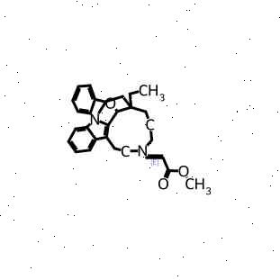 CCC12CCCN(/C=C/C(=O)OC)CCc3c(n(c4ccccc34)CC1)C2Oc1ccccc1